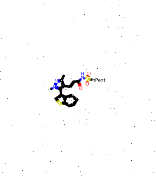 CCCCCS(=O)(=O)NC(=O)/C=C/c1c(C)nn(C)c1-c1csc2ccccc12